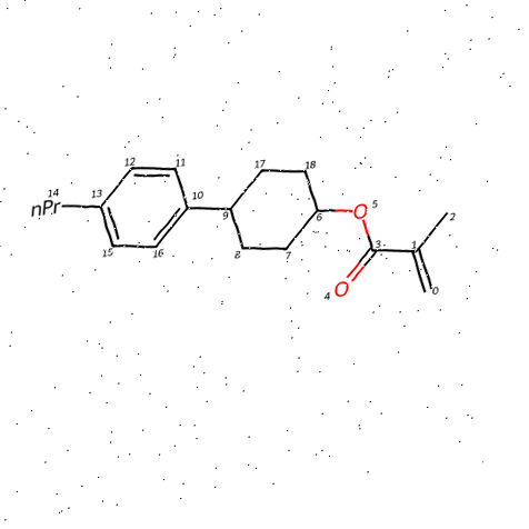 C=C(C)C(=O)OC1CCC(c2ccc(CCC)cc2)CC1